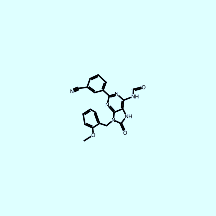 COc1ccccc1Cn1c(=O)[nH]c2c(N[C]=O)nc(-c3cccc(C#N)c3)nc21